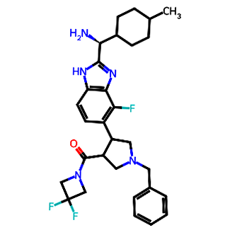 CC1CCC([C@H](N)c2nc3c(F)c(C4CN(Cc5ccccc5)CC4C(=O)N4CC(F)(F)C4)ccc3[nH]2)CC1